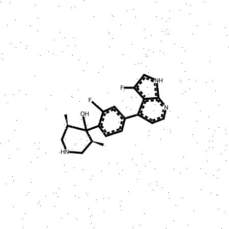 C[C@@H]1CNC[C@H](C)C1(O)c1ccc(-c2ccnc3[nH]cc(F)c23)cc1F